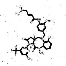 COc1cc(CN2C[C@H]3CC(=O)N(c4cc(C(F)(F)F)cc(C)n4)[C@@H]3C(=O)N(C)c3cccc(C)c32)ccc1NC(=O)/C=C/CN(C)C